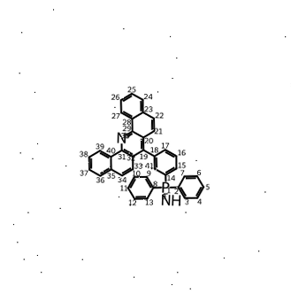 N=P(c1ccccc1)(c1ccccc1)c1cccc(-c2c3ccc4ccccc4c3nc3c2ccc2ccccc23)c1